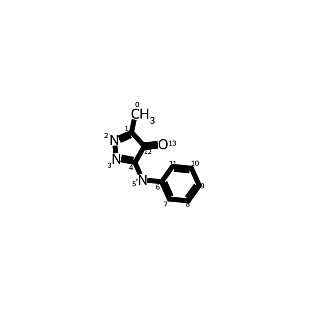 CC1=NN=C([N]c2ccccc2)C1=O